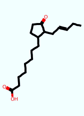 CCC=CCC1C(=O)CCC1CCCCCCCC(=O)O